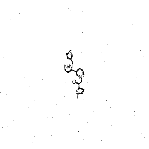 Cc1ccc(C(=O)C[n+]2cccc(-c3ccnn3Cc3ccsc3)c2)s1